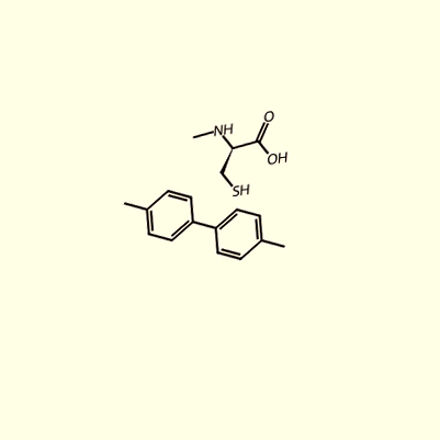 CN[C@H](CS)C(=O)O.Cc1ccc(-c2ccc(C)cc2)cc1